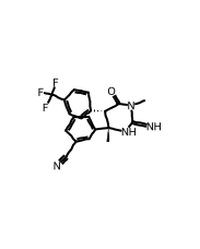 CN1C(=N)N[C@](C)(c2cccc(C#N)c2)[C@H](c2ccc(C(F)(F)F)cc2)C1=O